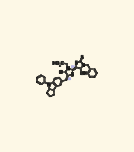 O=C(O)Cn1c(=O)/c(=C\c2ccc3c(c2)C2CCCC2N3c2ccccc2)s/c1=C1/SC(=S)N(Cc2ccccc2)C1O